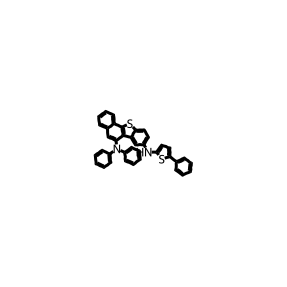 c1ccc(-c2ccc(Nc3ccc4sc5c6ccccc6cc(N(c6ccccc6)c6ccccc6)c5c4c3)s2)cc1